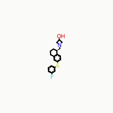 OC1CN(C[C@@H]2CCCc3cc(Sc4cccc(F)c4)ccc32)C1